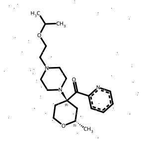 CC(C)OCCN1CCN([C@]2(C(=O)c3ccccn3)CCO[C@@H](C)C2)CC1